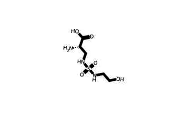 N[C@@H](CNS(=O)(=O)NCCO)C(=O)O